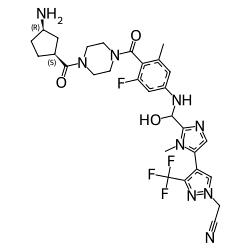 Cc1cc(NC(O)c2ncc(-c3cn(CC#N)nc3C(F)(F)F)n2C)cc(F)c1C(=O)N1CCN(C(=O)[C@H]2CC[C@@H](N)C2)CC1